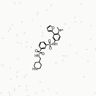 CN(C)c1ccc(NS(=O)(=O)c2cccc(S(=O)(=O)NCC3CCNCC3)c2)cc1-c1ccco1